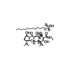 CCCCCCCCCCCCOS(=O)(=O)O.CN(C)c1ccc(O)c2c1C[C@H]1C[C@@H]3[C@H](N(C)C)C(O)=C(C(N)=O)C(=O)[C@@]3(O)C(O)=C1C2=O